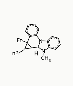 CCC[C@@H]1C2[C@@H]3N(C)c4ccccc4N3c3ccccc3C21CC